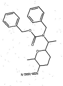 CC1OC(C(C)N(Cc2ccccc2)C(=O)OCc2ccccc2)CCC1N=[N+]=[N-]